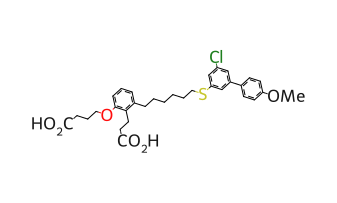 COc1ccc(-c2cc(Cl)cc(SCCCCCCc3cccc(OCCCC(=O)O)c3CCC(=O)O)c2)cc1